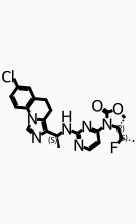 C[C@H](Nc1nccc(N2C(=O)OC[C@@H]2[C@H](C)F)n1)c1ncn2c1CCc1cc(Cl)ccc1-2